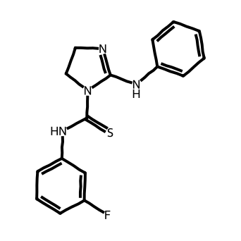 Fc1cccc(NC(=S)N2CCN=C2Nc2ccccc2)c1